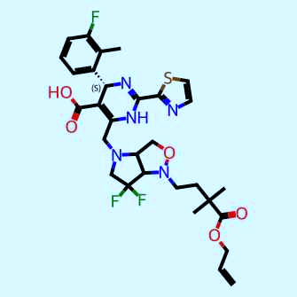 C=CCOC(=O)C(C)(C)CCN1OCC2C1C(F)(F)CN2CC1=C(C(=O)O)[C@H](c2cccc(F)c2C)N=C(c2nccs2)N1